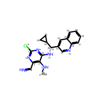 CCC(C)Nc1c(C=N)nc(Cl)nc1N[C@@H](c1cnc2ccccc2c1)C1CC1